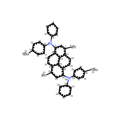 CC(C)c1cc(N(c2ccccc2)c2ccc(C(C)(C)C)cc2)c2ccc3c(C(C)C)cc(N(c4ccccc4)c4ccc(C(C)(C)C)cc4)c4ccc1c2c34